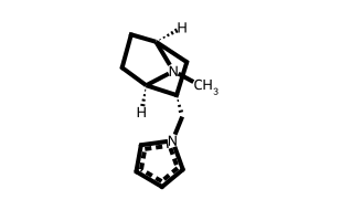 CN1[C@H]2CC[C@@H]1[C@@H](Cn1cccc1)C2